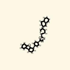 c1ccc2cc(-c3ccc(-c4nnc(-c5ccc(-c6cccc7c6oc6ccccc67)cc5)o4)cc3)ccc2c1